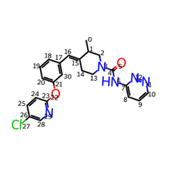 CC1CN(C(=O)Nc2cccnn2)CCC1=Cc1cccc(Oc2ccc(Cl)cn2)c1